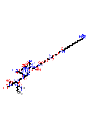 CCCCC(NC(=O)C(CCCCN(CC(=O)O)CC(=O)O)NC(=O)CCNC(=O)C(Cc1c[nH]cn1)NC(=O)C(CCC(N)=O)NC(=O)[C@H](CO)NC(=O)[C@H](CO)NC(=O)[C@H](CCC(N)=O)NC(=O)[C@@H](CO)NC(=O)CNC(=O)COCCOCCNC(=O)COCCOCCNC(=O)CCCCCCCCCCCCCCCc1nnn[nH]1)C(=O)NC